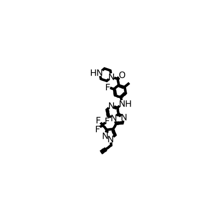 C#CCn1cc(-c2cnc3c(Nc4cc(C)c(C(=O)N5CCNCC5)c(F)c4)nccn23)c(C(F)(F)F)n1